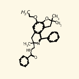 CCOc1cc2c(c3c1OC(C)(C)C3)C(c1ccccc1)=NC(C)(CNC(=O)c1ccccc1)C2